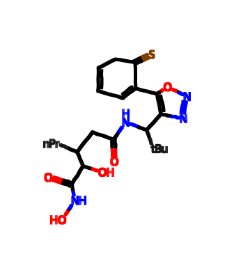 CCCC(CC(=O)NC(c1nnoc1C1=CC=CCC1=S)C(C)(C)C)C(O)C(=O)NO